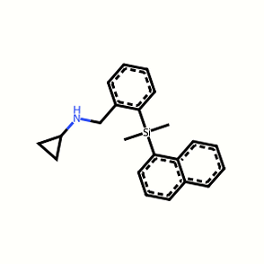 C[Si](C)(c1ccccc1CNC1CC1)c1cccc2ccccc12